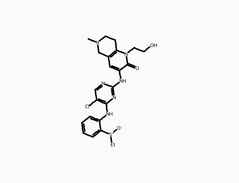 CC[S+]([O-])c1ccccc1Nc1nc(Nc2cc3c(n(CCO)c2=O)CCN(C)C3)ncc1Cl